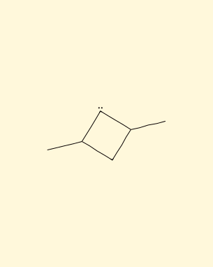 CC1[C]C(C)C1